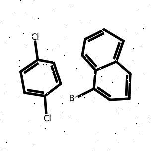 Brc1cccc2ccccc12.Clc1ccc(Cl)cc1